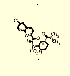 CN(C)C(=O)[C@H]1CCCC(N(NC(=O)c2ccc3cc(Cl)ccc3n2)C(=O)O)C1